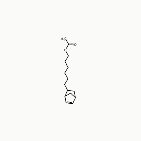 CC(=O)OCCCCCCC1CC2C=CC1C2